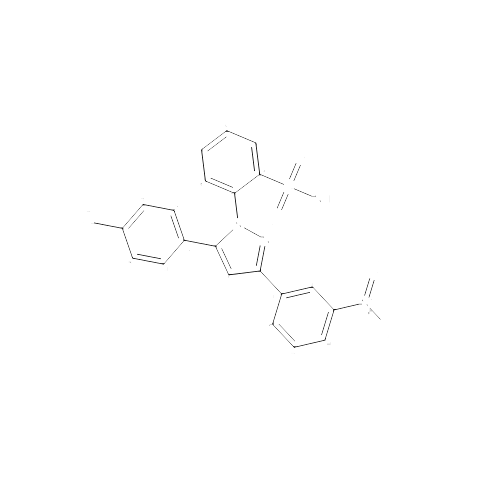 NS(=O)(=O)c1ccccc1-n1nc(-c2cccc([N+](=O)[O-])c2)cc1-c1ccc(Cl)cc1